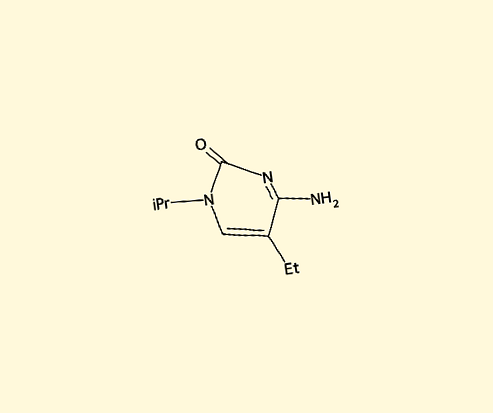 CCc1cn(C(C)C)c(=O)nc1N